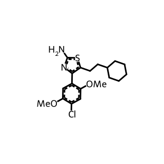 COc1cc(-c2nc(N)sc2CCC2CCCCC2)c(OC)cc1Cl